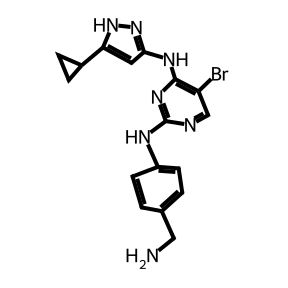 NCc1ccc(Nc2ncc(Br)c(Nc3cc(C4CC4)[nH]n3)n2)cc1